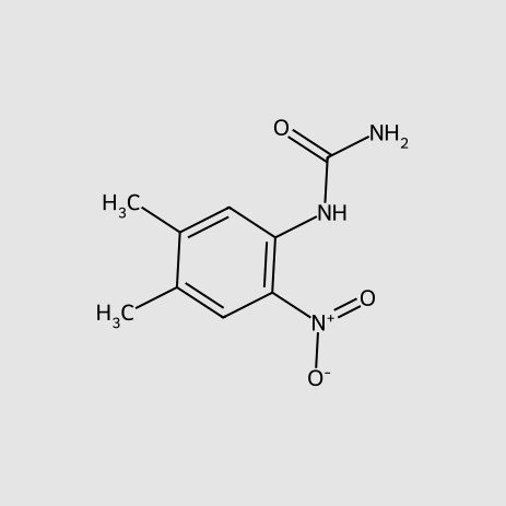 Cc1cc(NC(N)=O)c([N+](=O)[O-])cc1C